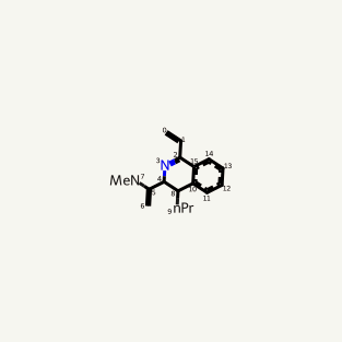 C=CC1=NC(C(=C)NC)C(CCC)c2ccccc21